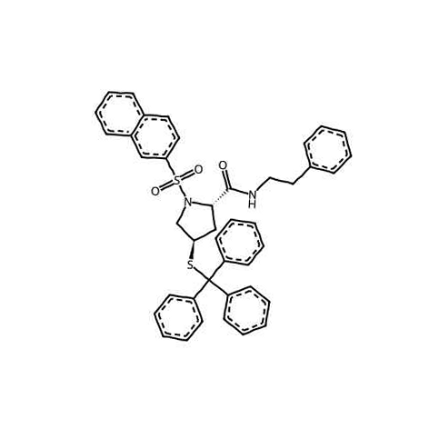 O=C(NCCc1ccccc1)[C@@H]1C[C@@H](SC(c2ccccc2)(c2ccccc2)c2ccccc2)CN1S(=O)(=O)c1ccc2ccccc2c1